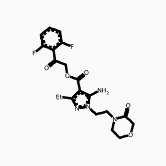 CCc1nn(CCN2CCOCC2=O)c(N)c1C(=O)OCC(=O)c1c(F)cccc1F